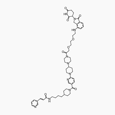 O=C(/C=C/c1cccnc1)NCCCCC1CCN(C(=O)c2ccc(N3CCC(N4CCN(C(=O)COCCOCCNc5cccc6c5CN(C5CCC(=O)NC5=O)C6=O)CC4)CC3)nc2)CC1